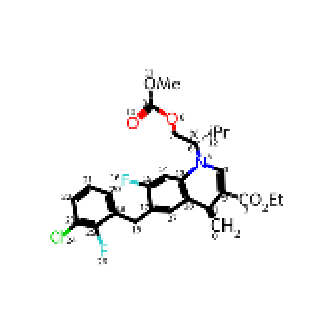 C=C1C(C(=O)OCC)=CN([C@H](COC(=O)OC)C(C)C)c2cc(F)c(Cc3cccc(Cl)c3F)cc21